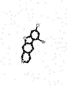 Clc1cc(Br)c2c(c1)oc1cc3cnccc3cc12